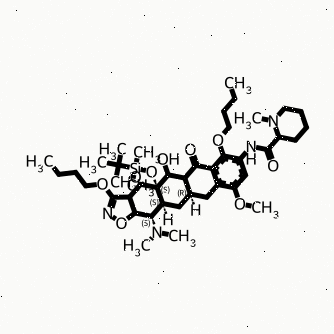 CCCCOC1=NOC2C1C(=O)[C@@]1(O[Si](C)(C)C(C)(C)C)C(O)C3C(=O)c4c(c(OC)cc(NC(=O)C5CCCCN5C)c4OCCCC)C[C@H]3C[C@H]1[C@@H]2N(C)C